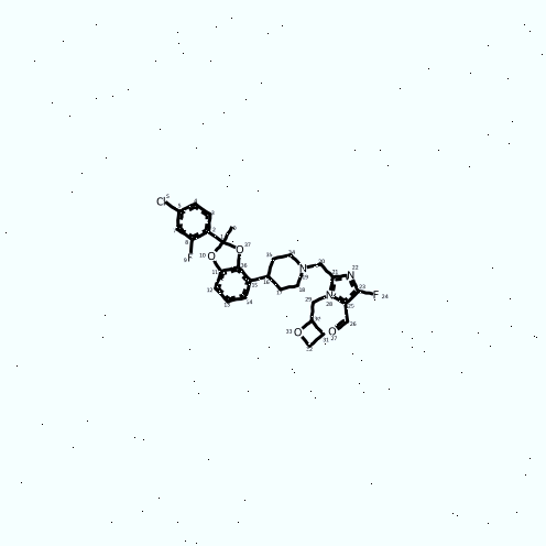 CC1(c2ccc(Cl)cc2F)Oc2cccc(C3CCN(Cc4nc(F)c(C=O)n4CC4CCO4)CC3)c2O1